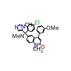 CN[C@](c1ccc(Cl)cc1)(c1ccc2c(c1)c(-c1cccc(OC)c1)cc(=O)n2C)c1cncn1C